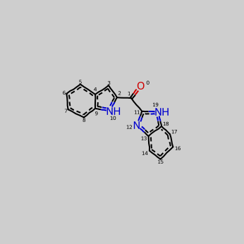 O=C(c1cc2ccccc2[nH]1)c1nc2ccccc2[nH]1